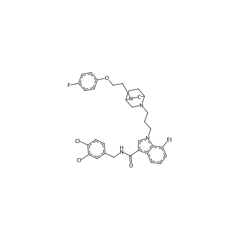 CCc1cccc2c(C(=O)NCc3ccc(Cl)c(Cl)c3)cn(CCCN3CC4CCC3CN4CCOc3ccc(F)cc3)c12